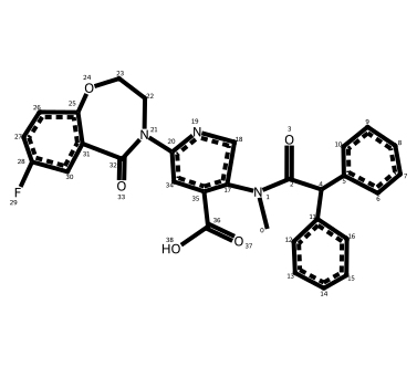 CN(C(=O)C(c1ccccc1)c1ccccc1)c1cnc(N2CCOc3ccc(F)cc3C2=O)cc1C(=O)O